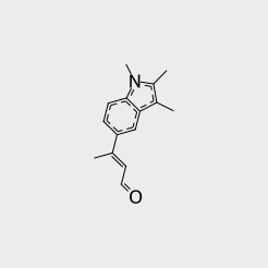 CC(=CC=O)c1ccc2c(c1)c(C)c(C)n2C